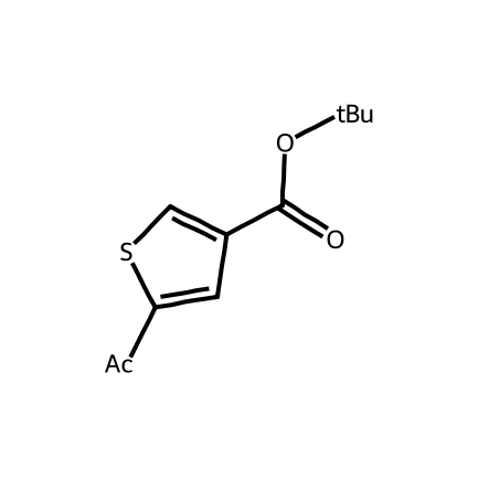 CC(=O)c1cc(C(=O)OC(C)(C)C)cs1